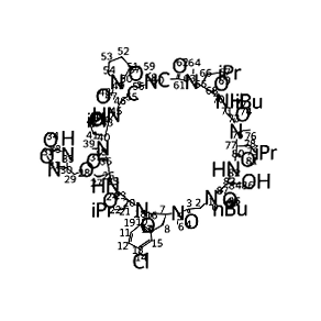 CCCCN1CC(=O)N(C)[C@@H](Cc2cccc(Cl)c2)C(=O)N(C)[C@@H](CC(C)C)C(=O)N[C@@H](COCc2noc(=O)[nH]2)C(=O)N(C)[C@@H](CC(C)C)C(=O)N[C@H](C(=O)N2CCCCC2)CC(=O)N(C)CC(=O)N(C)[C@@H](CC(C)C)C(=O)N[C@@H]([C@@H](C)CC)C(=O)N(C)[C@@H](CC(C)C)C(=O)N[C@@H]([C@@H](C)O)C1=O